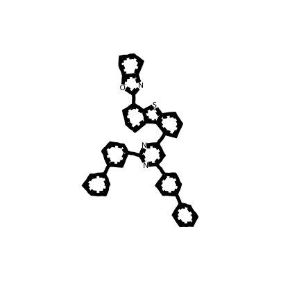 c1ccc(-c2ccc(-c3cc(-c4cccc5sc6c(-c7nc8ccccc8o7)cccc6c45)nc(-c4cccc(-c5ccccc5)c4)n3)cc2)cc1